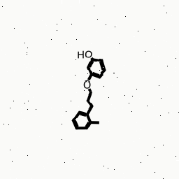 Cc1ccccc1CCCOc1cccc(O)c1